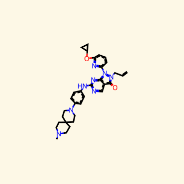 C=CCn1c(=O)c2cnc(Nc3ccc(N4CCC5(CCN(C)CC5)CC4)cc3)nc2n1-c1cccc(OC2CC2)n1